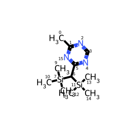 Cc1ncnc(C([Si](C)(C)C)[Si](C)(C)C)n1